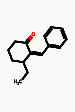 CCC1CCCC(=O)C1=Cc1ccccc1